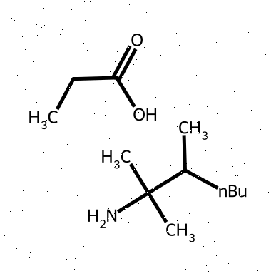 CCC(=O)O.CCCCC(C)C(C)(C)N